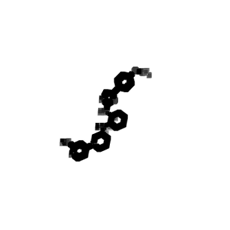 N#Cc1cc(N2CCC[C@H](N[C@@H]3CCCC[C@H]3Nc3ncc(-c4ccc(OC(F)(F)F)cc4)o3)C2)ccn1